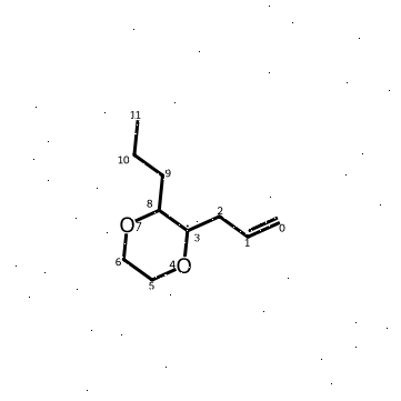 C=CC[C]1OCCOC1CCC